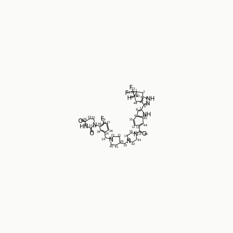 C[C@@]12Cc3[nH]nc(-c4cc5ccc(C(=O)N6CCN(CC7CCN(Cc8ccc(F)c(N9CCC(=O)NC9=O)c8)CC7)CC6)cc5[nH]4)c3C[C@@H]1C2(F)F